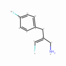 NCC(=CF)Cc1ccc(F)cc1